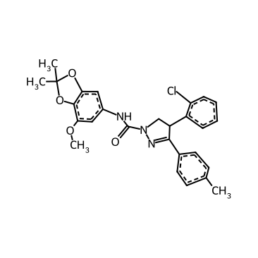 COc1cc(NC(=O)N2CC(c3ccccc3Cl)C(c3ccc(C)cc3)=N2)cc2c1OC(C)(C)O2